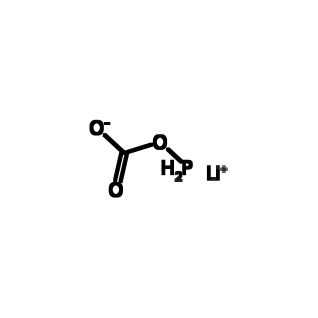 O=C([O-])OP.[Li+]